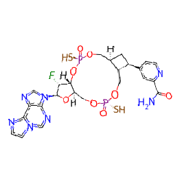 NC(=O)c1cc([C@@H]2C[C@@H]3CO[P@](=O)(S)O[C@H]4[C@@H](F)[C@H](n5cnc6c5ncn5ccnc65)O[C@@H]4CO[P@@](=O)(S)OCC32)ccn1